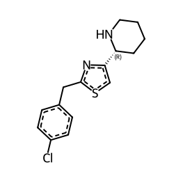 Clc1ccc(Cc2nc([C@H]3CCCCN3)cs2)cc1